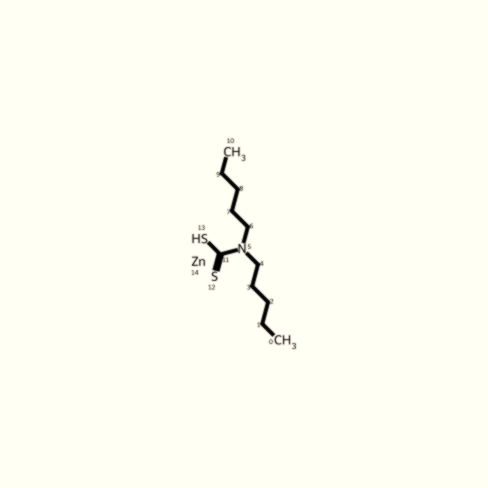 CCCCCN(CCCCC)C(=S)S.[Zn]